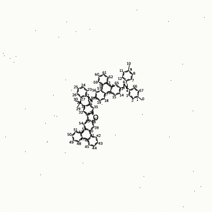 Cc1ccc(N(c2ccc(C)cc2)c2ccc3c4ccc(N5c6ccccc6C(C)(C)c6cc7c(cc65)oc5cc6c8ccccc8c8ccccc8c6cc57)cc4c4ccccc4c3c2)cc1